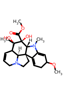 CC[C@]12C=CCN3CC[C@@]4(C5=CCC(OC)C=C5N(C)[C@H]4[C@@](O)(C(=O)OC)[C@@H]1O)[C@@H]32